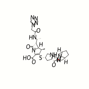 C[C@@H](NC(=O)Cn1cnnn1)[C@H]1C(=O)N2C(C(=O)O)=C(S[C@@H]3CN[C@H](C(=O)N4C[C@H]5CC[C@@H](C4)[C@@H]5N)C3)[C@H](C)[C@H]12